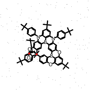 CC(C)(C)c1ccc(N2c3cc4c(cc3B3c5cc6c(cc5N(c5ccc(C(C)(C)C)cc5)c5cc(C(C)(C)C)cc2c53)Oc2cc(C(C)(C)C)cc3c2B6c2cc(C(C)(C)C)ccc2O3)B2c3cc(C(C)(C)C)ccc3Oc3cc(C(C)(C)C)cc(c32)O4)cc1